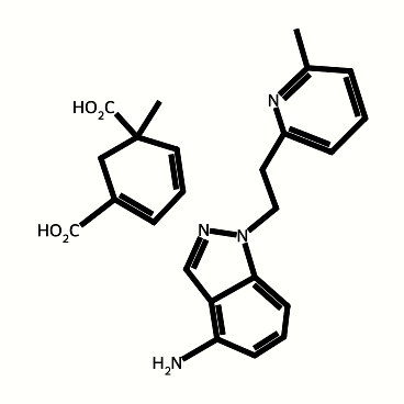 CC1(C(=O)O)C=CC=C(C(=O)O)C1.Cc1cccc(CCn2ncc3c(N)cccc32)n1